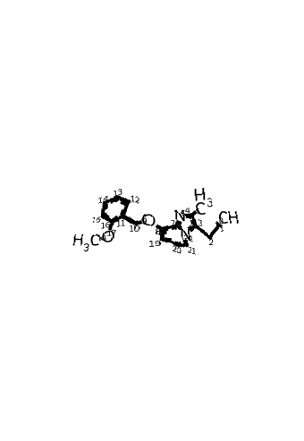 C#CCc1c(C)nc2c(OCc3ccccc3OC)cccn12